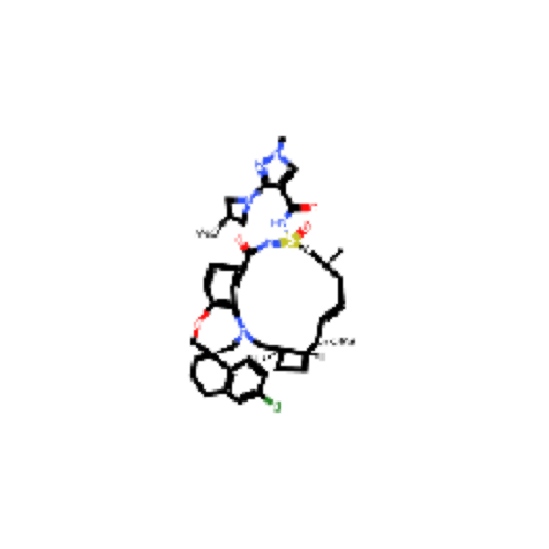 COC1CN(c2nn(C)cc2C(=O)N[S@@]2(=O)=NC(=O)c3ccc4c(c3)N(C[C@@H]3CC[C@H]3[C@@H](OC)/C=C/C[C@H](C)C2)C[C@@]2(CCCc3cc(Cl)ccc32)CO4)C1